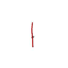 CCCCCCCCCCCCCCCCCCCCCCCCCCCCCC(=O)OCCCCCCCCCCCCCCCCCCC